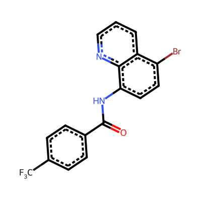 O=C(Nc1ccc(Br)c2cccnc12)c1ccc(C(F)(F)F)cc1